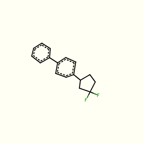 FC1(F)CCC(c2ccc(-c3ccccc3)cc2)C1